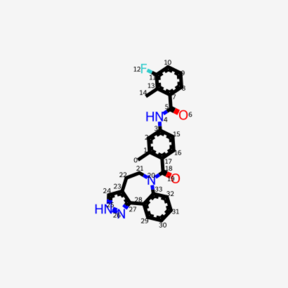 Cc1cc(NC(=O)c2cccc(F)c2C)ccc1C(=O)N1CCc2c[nH]nc2-c2ccccc21